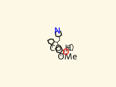 COc1ccc(C(Cc2ccncc2)c2ccccc2C(=O)O)cc1OC1CCCC1